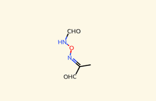 CC(C=O)=NONC=O